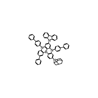 c1ccc(-c2ccc(N3c4ccc(-c5ccccc5)cc4B4c5ccc(N6C7CC8CC(C7)CC6C8)cc5N(c5ccc(-c6ccccc6)cc5)c5cc(-n6c7ccccc7c7ccccc76)cc3c54)cc2)cc1